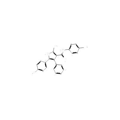 CC(C)c1[nH]c(-c2ccc(F)cc2)c(-c2ccccc2)c1C(=O)Nc1ccc(F)cc1